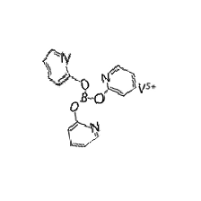 [V+5].c1ccc(OB(Oc2ccccn2)Oc2ccccn2)nc1